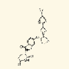 O=C1CC[C@H](N2Cc3cc(O[C@H]4CCCC[C@@H]4N4CC(c5ncc(C6CC6)cn5)C4)ccc3C2=O)C(=O)N1